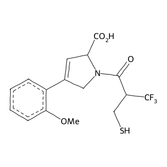 COc1ccccc1C1=CC(C(=O)O)N(C(=O)C(CS)C(F)(F)F)C1